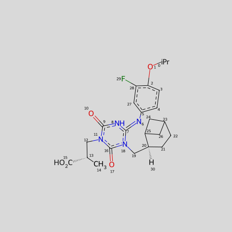 CC(C)Oc1ccc(/N=c2\[nH]c(=O)n(C[C@H](C)C(=O)O)c(=O)n2C[C@@H]2CCC3CC2C3)cc1F